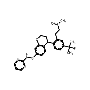 C[S+]([O-])CCc1cc(C(C)(C)F)ccc1C1CCOc2cc(SNc3ncccn3)ccc21